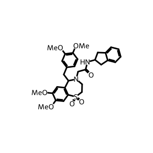 COc1ccc(CC2c3cc(OC)c(OC)cc3S(=O)(=O)CCN2CC(=O)NC2Cc3ccccc3C2)cc1OC